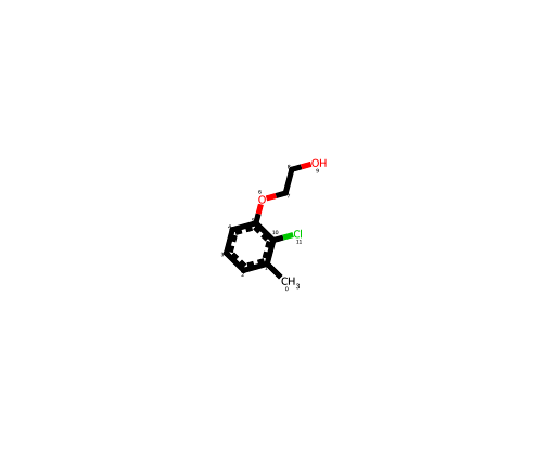 Cc1cccc(OCCO)c1Cl